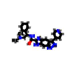 CN(C)CC(NC(=O)c1nc2cc3c(-c4ccncc4)n[nH]c3cc2[nH]1)c1ccccc1